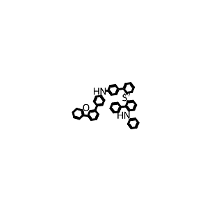 C1=CC[C@@H](Sc2cccc(Nc3ccccc3)c2-c2ccccc2)C(c2ccc(Nc3ccc(-c4cccc5c6c(oc45)CCC=C6)cc3)cc2)=C1